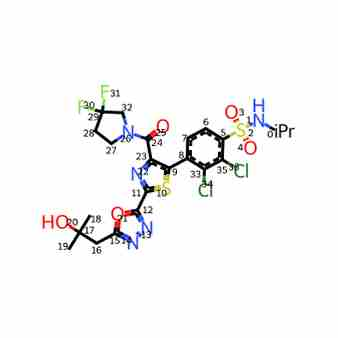 CC(C)NS(=O)(=O)c1ccc(-c2sc(-c3nnc(CC(C)(C)O)o3)nc2C(=O)N2CCC(F)(F)C2)c(Cl)c1Cl